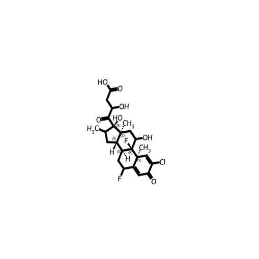 CC1C[C@H]2[C@@H]3CC(F)C4=CC(=O)C(Cl)=C[C@]4(C)[C@@]3(F)C(O)C[C@]2(C)[C@@]1(O)C(=O)C(O)CC(=O)O